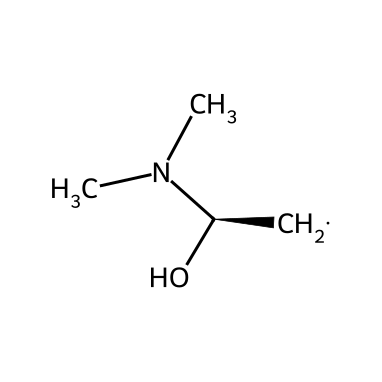 [CH2][C@@H](O)N(C)C